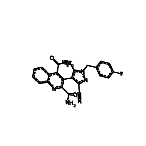 Cc1c(-c2c(C(N)=O)nc3ccccc3c2C(N)=O)c(C#N)nn1Cc1ccc(F)cc1